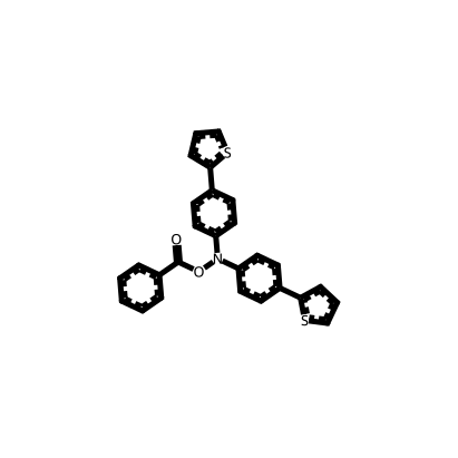 O=C(ON(c1ccc(-c2cccs2)cc1)c1ccc(-c2cccs2)cc1)c1ccccc1